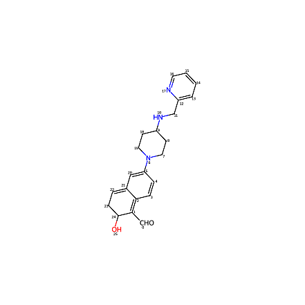 O=CC1=c2ccc(N3CCC(NCc4ccccn4)CC3)cc2=CCC1O